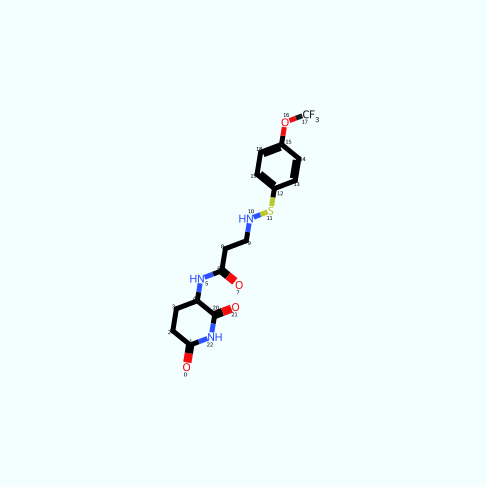 O=C1CCC(NC(=O)CCNSc2ccc(OC(F)(F)F)cc2)C(=O)N1